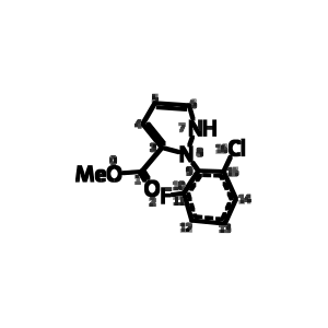 COC(=O)C1=CC=CNN1c1c(F)cccc1Cl